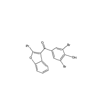 CC(C)c1oc2ccccc2c1C(=O)c1cc(Br)c(O)c(Br)c1